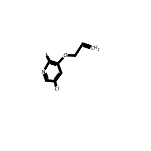 C=CCOc1cc(Cl)cnc1I